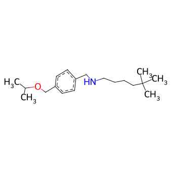 CC(C)OCc1ccc(CNCCCCC(C)(C)C)cc1